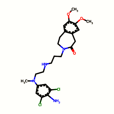 COc1cc2c(cc1OC)CC(=O)N(CCCNCCN(C)c1cc(Cl)c(N)c(Cl)c1)CC2